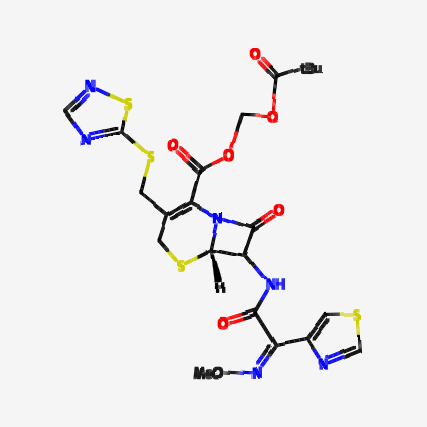 CO/N=C(\C(=O)NC1C(=O)N2C(C(=O)OCOC(=O)C(C)(C)C)=C(CSc3ncns3)CS[C@@H]12)c1cscn1